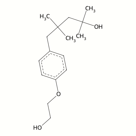 CC(C)(O)CC(C)(C)Cc1ccc(OCCO)cc1